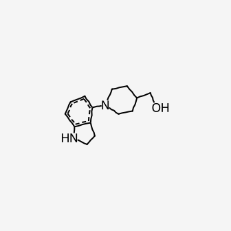 OCC1CCN(c2cccc3c2CCN3)CC1